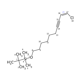 CC(C)(C)[Si](C)(C)OCCCCCCC#C/C=C\Cl